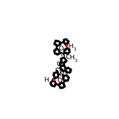 Cc1ccc(C)c(N(c2ccc3c(c2)oc2cc(N(c4cc(C)ccc4C)c4cccc5c4oc4c(-c6ccccc6)cccc45)c4ccccc4c23)c2cccc3c2oc2c(-c4ccccc4)cccc23)c1